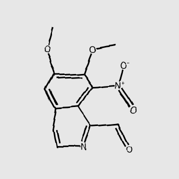 COc1cc2ccnc(C=O)c2c([N+](=O)[O-])c1OC